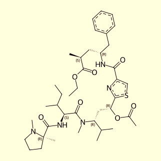 CCOC(=O)[C@@H](C)C[C@H](Cc1ccccc1)NC(=O)c1csc([C@@H](C[C@H](C(C)C)N(C)C(=O)[C@@H](NC(=O)[C@@]2(C)CCCN2C)C(C)CC)OC(C)=O)n1